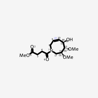 COC(=O)CCC(=O)N1C/C=C\[C@@H](O)[C@H](OC)[C@@H](OC)C1